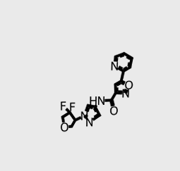 O=C(Nc1cnn(C2COCC2(F)F)c1)c1cc(-c2ccccn2)on1